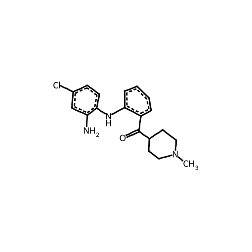 CN1CCC(C(=O)c2ccccc2Nc2ccc(Cl)cc2N)CC1